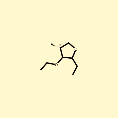 CCOC1C(CC)OC[C@H]1C